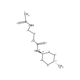 CC(=O)NCCOC(=O)N[C@H]1CC[C@H](C)CC1